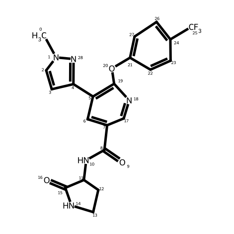 Cn1ccc(-c2cc(C(=O)NC3CCNC3=O)cnc2Oc2ccc(C(F)(F)F)cc2)n1